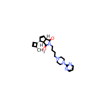 C[C@@H]1C=C[C@@H]1C1C=C[C@H]2C(=O)N(CCCCN3CCN(c4ncccn4)CC3)C(=O)[C@@H]12